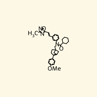 COc1ccc(C2=C3CC(CN(C(=O)C4CCCCC4)c4cccc(/C=C/c5nc(C)no5)c4)(CC2)C3)cc1